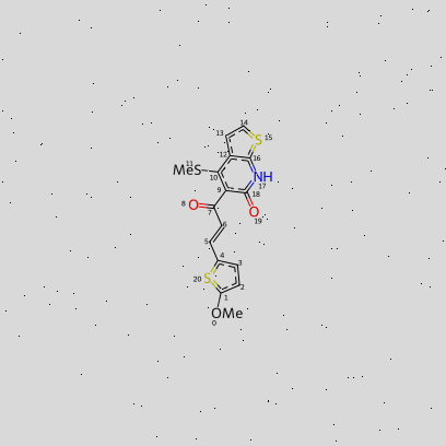 COc1ccc(/C=C/C(=O)c2c(SC)c3ccsc3[nH]c2=O)s1